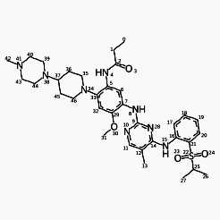 CCC(=O)Nc1cc(Nc2ncc(C)c(Nc3ccccc3S(=O)(=O)C(C)C)n2)c(OC)cc1N1CCC(N2CCN(C)CC2)CC1